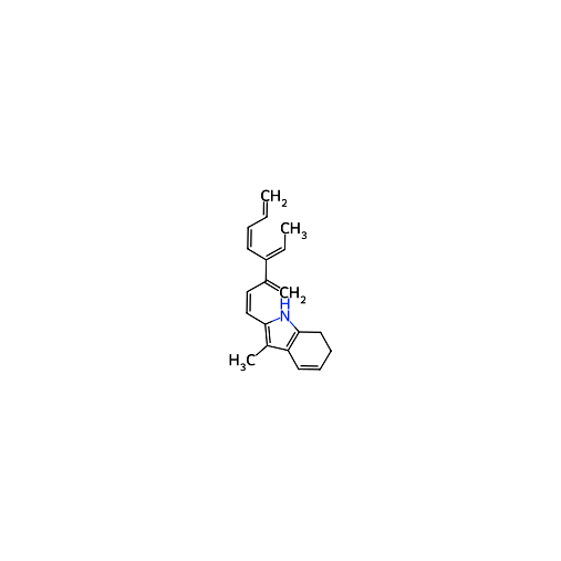 C=C/C=C\C(=C/C)C(=C)/C=C\c1[nH]c2c(c1C)C=CCC2